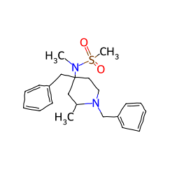 CC1CC(Cc2ccccc2)(N(C)S(C)(=O)=O)CCN1Cc1ccccc1